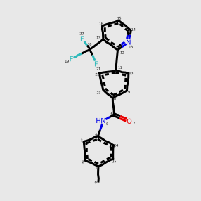 Cc1ccc(NC(=O)c2ccc(-c3ncccc3C(F)(F)F)cc2)cc1